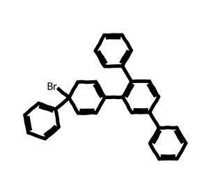 BrC1(c2ccccc2)C=CC(c2cc(-c3ccccc3)ccc2-c2ccccc2)=CC1